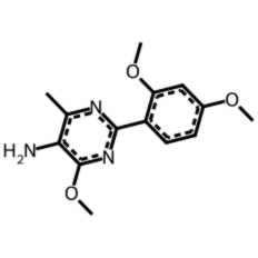 COc1ccc(-c2nc(C)c(N)c(OC)n2)c(OC)c1